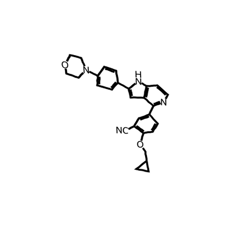 N#Cc1cc(-c2nccc3[nH]c(-c4ccc(N5CCOCC5)cc4)cc23)ccc1OCC1CC1